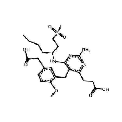 CCCC[C@@H](CCS(C)(=O)=O)Nc1nc(N)nc(CCC(=O)O)c1Cc1cc(CC(=O)O)ccc1OC